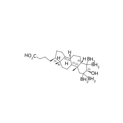 BC1(B)C[C@@]2(C)[C@H](CC[C@@H]3[C@@H]2CC[C@]2(C)[C@@H](CCCC(=O)O)CC[C@@H]32)C(B)(B)[C@H]1O